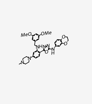 COc1cc(CNc2cc(N3CCN(C)CC3)ccc2-c2nnc(Nc3ccc4c(c3)OCCO4)o2)cc(OC)c1